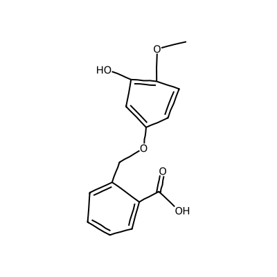 COc1ccc(OCc2ccccc2C(=O)O)cc1O